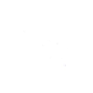 NC12CC3CC4(N5Cc6ccncc6C5=O)CC(C1)C24C3